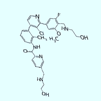 COc1cc(-c2nccc(-c3cccc(NC(=O)c4ccc(CNCCO)cn4)c3C)c2Cl)cc(F)c1CNCCO